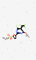 COc1nc(-c2ccc(S(C)(=O)=O)o2)nc(F)c1C(F)(F)F